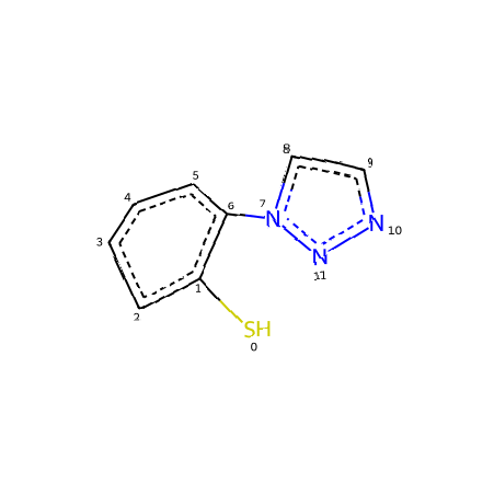 Sc1ccccc1-n1ccnn1